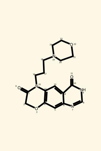 O=C1COc2cc3nc[nH]c(=O)c3cc2N1CCCN1CCOCC1